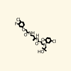 C=C(CCNC(=O)COc1ccc(Cl)c(F)c1)NC(=O)[C@@H]1CN(CC(C)(C)O)c2cc(Cl)ccc2O1